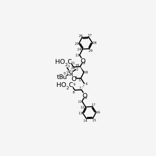 CC(C)(C)[Si](C)(C)OC(C[C@@H](CC(=O)O)OCc1ccccc1)C[C@@H](CC(=O)O)OCc1ccccc1